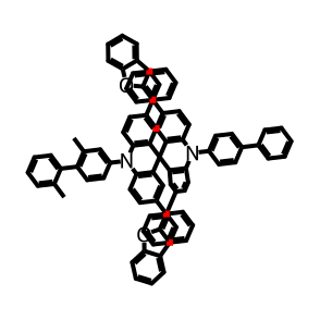 Cc1ccccc1-c1ccc(N2c3ccc(-c4cccc5c4oc4ccccc45)cc3C3(c4cc(-c5ccccc5)ccc4N(c4ccc(-c5ccccc5)cc4)c4ccc(-c5ccccc5)cc43)c3cc(-c4cccc5c4oc4ccccc45)ccc32)cc1C